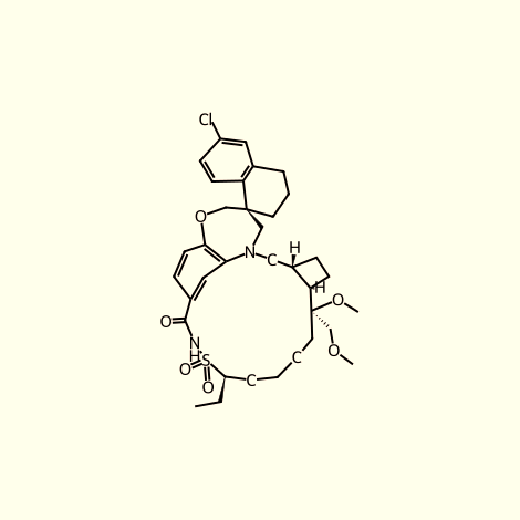 CC[C@@H]1CCCC[C@](COC)(OC)[C@@H]2CC[C@H]2CN2C[C@@]3(CCCc4cc(Cl)ccc43)COc3ccc(cc32)C(=O)NS1(=O)=O